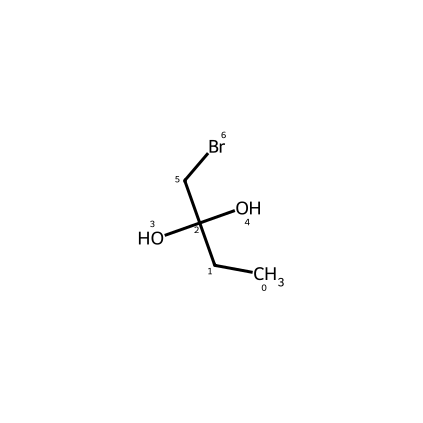 CCC(O)(O)CBr